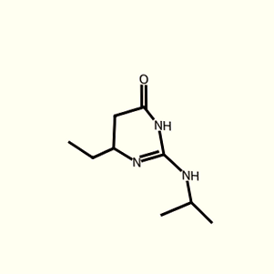 CCC1CC(=O)NC(NC(C)C)=N1